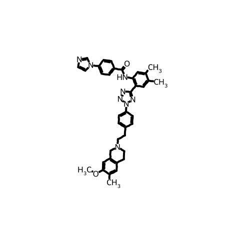 COc1cc2c(cc1C)CCN(CCc1ccc(-n3nnc(-c4cc(C)c(C)cc4NC(=O)c4ccc(-n5ccnc5)cc4)n3)cc1)C2